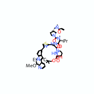 C=CC(=O)N(C)C[C@H]1CCN(C(=O)N(C)[C@H](C(=O)N[C@H]2Cc3nc(cs3)-c3ccc4c(c3)c(c(-c3cccnc3[C@H](C)OC)n4CC)CC(C)(C)COC(=O)[C@@]3(O)CCCN(N3)C2=O)C(C)C)C1